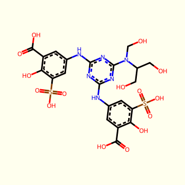 O=C(O)c1cc(Nc2nc(Nc3cc(C(=O)O)c(O)c(S(=O)(=O)O)c3)nc(N(CO)C(CO)CO)n2)cc(S(=O)(=O)O)c1O